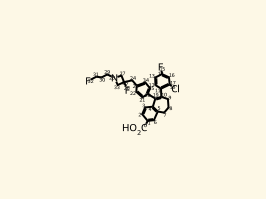 O=C(O)c1ccc2c(c1)CCCC(c1ccc(F)cc1Cl)=C2c1ccc(CC2(F)CN(CCCF)C2)cc1